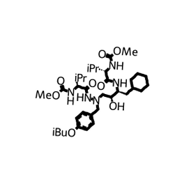 COC(=O)N[C@H](C(=O)N[C@@H](CC1CCCCC1)[C@@H](O)CN(Cc1ccc(OCC(C)C)cc1)NC(=O)[C@@H](NC(=O)OC)C(C)C)C(C)C